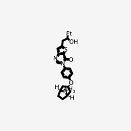 CCC(O)Cc1cc2ncn(-c3ccc(O[C@H]4C[C@H]5CC[C@@H](C4)N5C)cc3)c(=O)c2s1